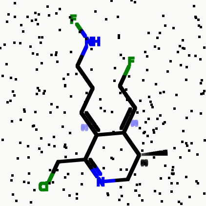 C[C@@H]1CN=C(CCl)C(=C/CCNF)/C1=C\CF